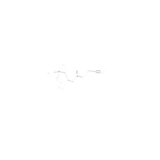 C#CCOC(=O)CC(C)CC(C)(C)C